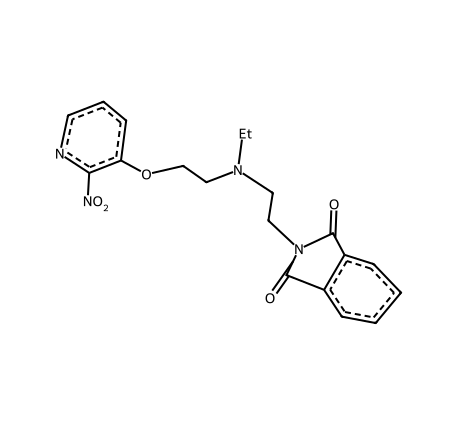 CCN(CCOc1cccnc1[N+](=O)[O-])CCN1C(=O)c2ccccc2C1=O